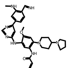 C=CC(=O)Nc1cc(Nc2cc(-c3ccc(C=N)c(NC)c3)ncn2)c(OC)cc1N1CCC(N2CCCC2)CC1